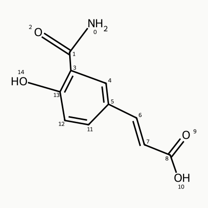 NC(=O)c1cc(/C=C/C(=O)O)ccc1O